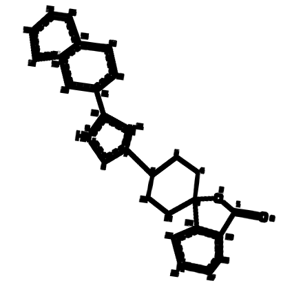 O=C1OC2(CCC(c3c[nH]c(-c4ccc5ccccc5c4)n3)CC2)c2cnccc21